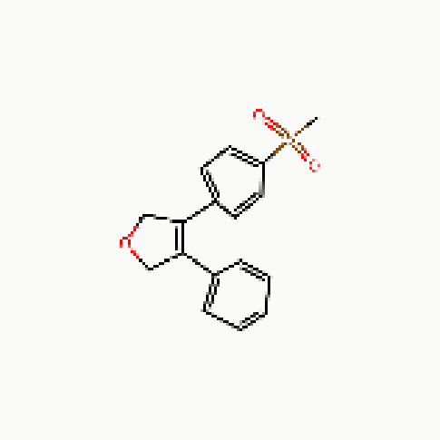 CS(=O)(=O)c1ccc(C2=C(c3ccccc3)COC2)cc1